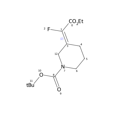 CCOC(=O)/C(F)=C1\CCCN(C(=O)OC(C)(C)C)C1